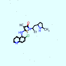 CCC(CC1CCC(C)N1)n1sc(Nc2c(Cl)ccc3ncccc23)c(C#N)c1=O